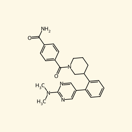 CN(C)c1ncc(-c2ccccc2C2CCCN(C(=O)c3ccc(C(N)=O)cc3)C2)cn1